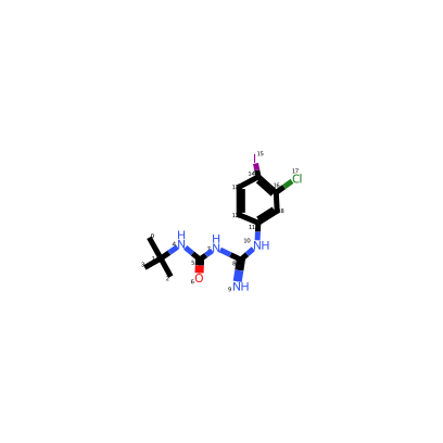 CC(C)(C)NC(=O)NC(=N)Nc1ccc(I)c(Cl)c1